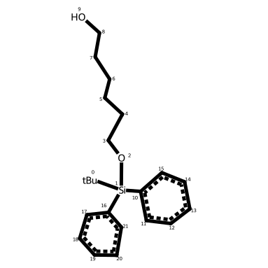 CC(C)(C)[Si](OCCCCCCO)(c1ccccc1)c1ccccc1